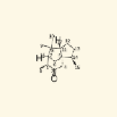 C[C@@H]1C(=O)C[C@]23C[C@H]1C(C)(C)[C@@H]2CC[C@H]3C